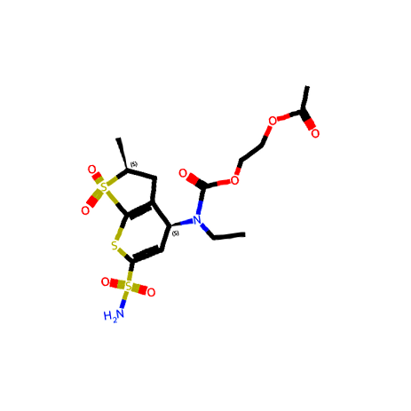 CCN(C(=O)OCCOC(C)=O)[C@H]1C=C(S(N)(=O)=O)SC2=C1C[C@H](C)S2(=O)=O